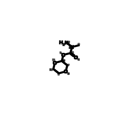 CN(N)C(=O)OC1COCCO1